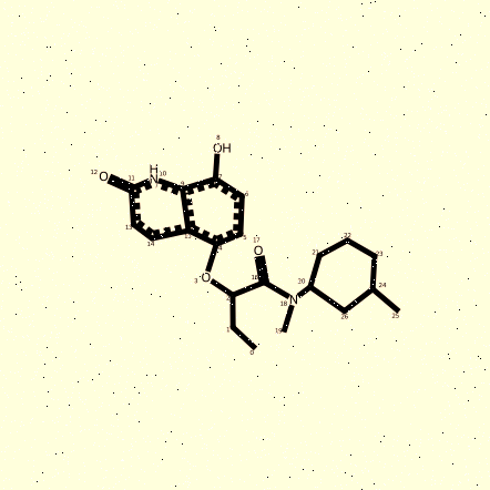 CCC(Oc1ccc(O)c2[nH]c(=O)ccc12)C(=O)N(C)C1CCCC(C)C1